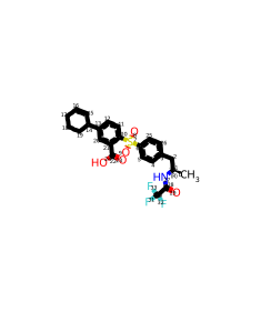 C[C@H](Cc1ccc(S(=O)(=O)c2ccc(C3C=CCCC3)cc2C(=O)O)cc1)NC(=O)C(F)(F)F